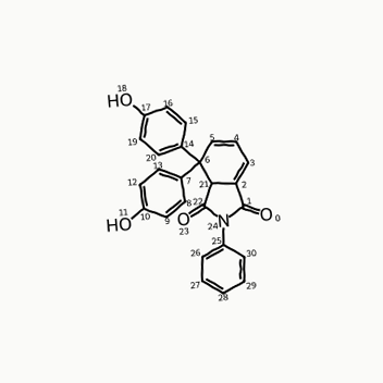 O=C1C2=CC=CC(c3ccc(O)cc3)(c3ccc(O)cc3)C2C(=O)N1c1ccccc1